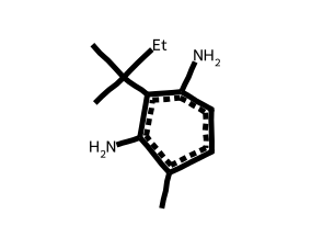 CCC(C)(C)c1c(N)ccc(C)c1N